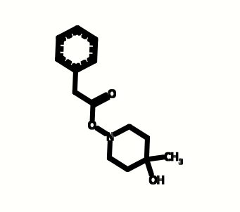 CC1(O)CCN(OC(=O)Cc2ccccc2)CC1